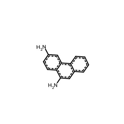 Nc1ccc2c(N)cc3ccccc3c2c1